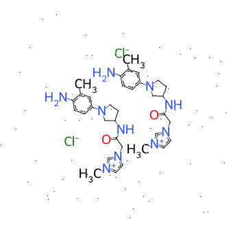 Cc1cc(N2CCC(NC(=O)Cn3cc[n+](C)c3)C2)ccc1N.Cc1cc(N2CCC(NC(=O)Cn3cc[n+](C)c3)C2)ccc1N.[Cl-].[Cl-]